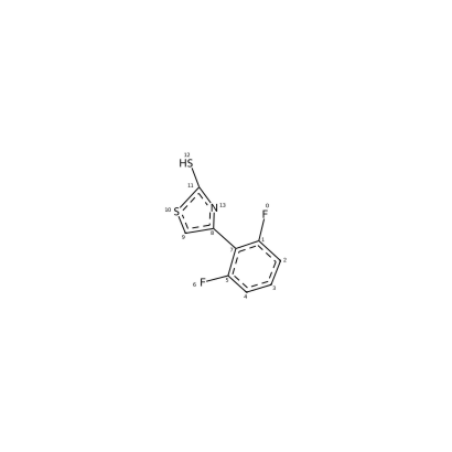 Fc1cccc(F)c1-c1csc(S)n1